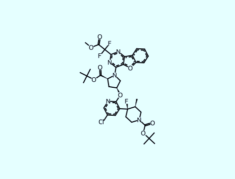 COC(=O)C(F)(F)c1nc(N2C[C@@H](Oc3ncc(Cl)cc3[C@@]3(F)CCN(C(=O)OC(C)(C)C)C[C@@H]3C)C[C@H]2C(=O)OC(C)(C)C)c2oc3ccccc3c2n1